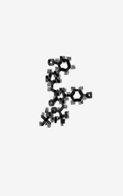 CC(C)(C)[Si](C)(C)OC(Cn1c(-c2ccc(Cl)cc2)nn(Cc2ncn(-c3cccnc3Cl)n2)c1=O)C(F)(F)F